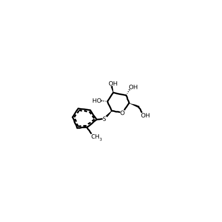 Cc1ccccc1S[C@@H]1O[C@H](CO)[C@@H](O)[C@H](O)[C@H]1O